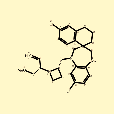 C=C[C@@H](COC)N1CC[C@H]1CN1C[C@@]2(CCCc3cc(Cl)ccc32)COc2ccc(I)cc21